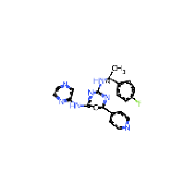 C[C@H](Nc1nc(Nc2cnccn2)cc(-c2ccncc2)n1)c1ccc(F)cc1